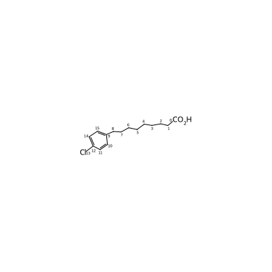 O=C(O)CCCCCCCCc1ccc(Cl)cc1